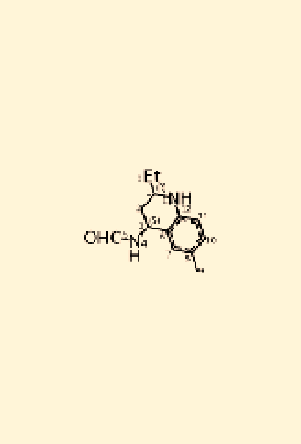 CC[C@@H]1C[C@H](NC=O)c2cc(C)ccc2N1